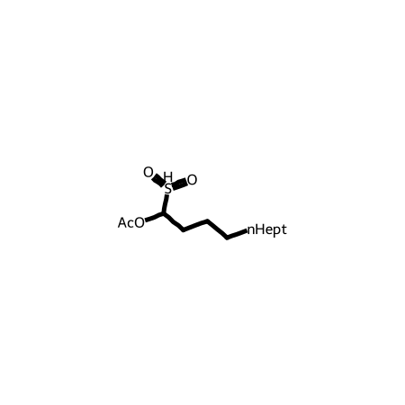 CCCCCCCCCCC(OC(C)=O)[SH](=O)=O